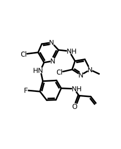 C=CC(=O)Nc1ccc(F)c(Nc2nc(Nc3cn(C)nc3Cl)ncc2Cl)c1